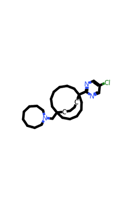 Clc1cnc(C23CCCCCCC(CN4CCCCCCCC4)(CCCCC2)CCCC3)nc1